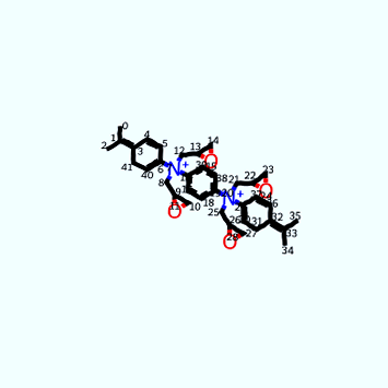 CC(C)=C1C=CC([N+](CC2CO2)(CC2CO2)c2ccc([N+](CC3CO3)(CC3CO3)C3=CCC(=C(C)C)C=C3)cc2)=CC1